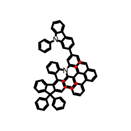 c1ccc(-c2cccc3cccc(-c4ccccc4N(c4cccc(-c5ccc6c7ccccc7n(-c7ccccc7)c6c5)c4)c4ccccc4-c4cccc5c4-c4ccccc4C5(c4ccccc4)c4ccccc4)c23)cc1